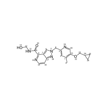 Cc1cc(Cn2cc3c(C(=O)NCO)nccc3n2)ncc1OCC1CC1